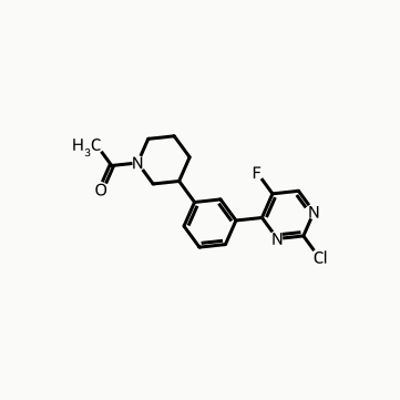 CC(=O)N1CCCC(c2cccc(-c3nc(Cl)ncc3F)c2)C1